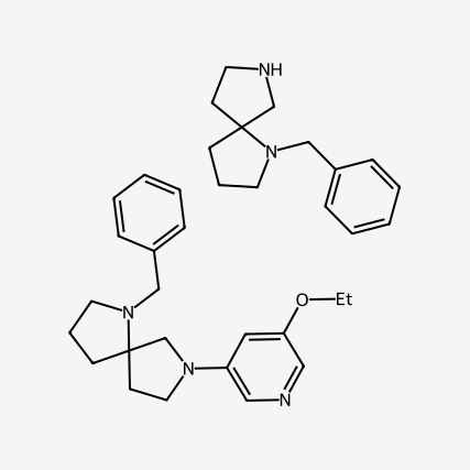 CCOc1cncc(N2CCC3(CCCN3Cc3ccccc3)C2)c1.c1ccc(CN2CCCC23CCNC3)cc1